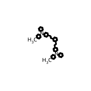 Cc1ccc(N(c2ccccc2)c2ccc(/C=C/c3cccc(/C=C/c4ccc(N(c5ccccc5)c5ccc(C)cc5)cc4)c3)cc2)cc1